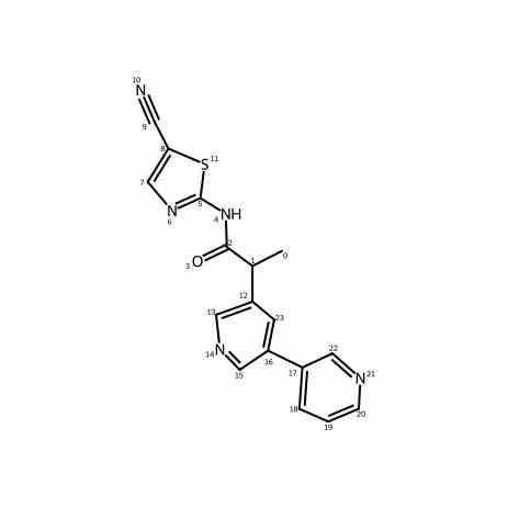 CC(C(=O)Nc1ncc(C#N)s1)c1cncc(-c2cccnc2)c1